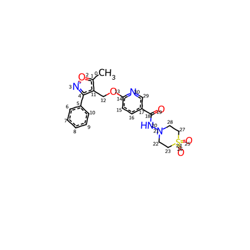 Cc1onc(-c2ccccc2)c1COc1ccc(C(=O)NN2CCS(=O)(=O)CC2)cn1